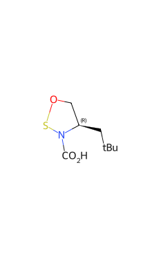 CC(C)(C)C[C@@H]1COSN1C(=O)O